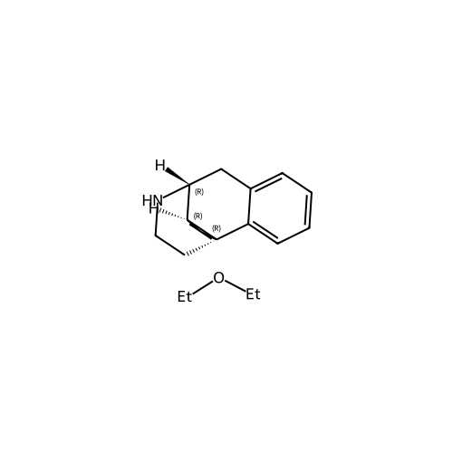 CCOCC.c1ccc2c(c1)C[C@H]1NCC[C@@]23CCCC[C@@H]13